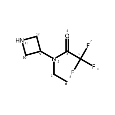 CCN(C(=O)C(F)(F)F)C1CNC1